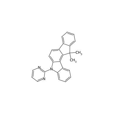 CC1(C)c2ccccc2-c2ccc3c(c21)c1ccccc1n3-c1ncccn1